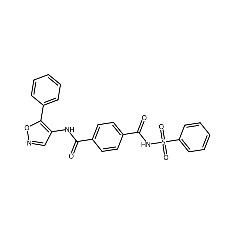 O=C(Nc1cnoc1-c1ccccc1)c1ccc(C(=O)NS(=O)(=O)c2ccccc2)cc1